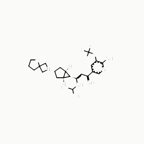 CC(C)N/C(=C\C(=N)c1cnc(N)c(OC(F)(F)F)c1)[C@H]1[C@@H]2C[C@H](N3CC4(CCCO4)C3)C[C@@H]21